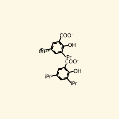 CC(C)c1cc(C(=O)[O-])c(O)c(C(C)C)c1.CC(C)c1cc(C(=O)[O-])c(O)c(C(C)C)c1.[Cu+2]